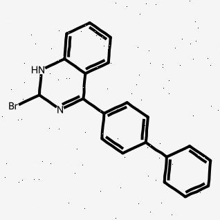 BrC1N=C(c2ccc(-c3ccccc3)cc2)c2ccccc2N1